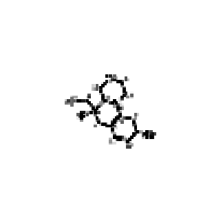 FCC1(F)CC2=C(CC(Br)C=C2)N2CCOCC21